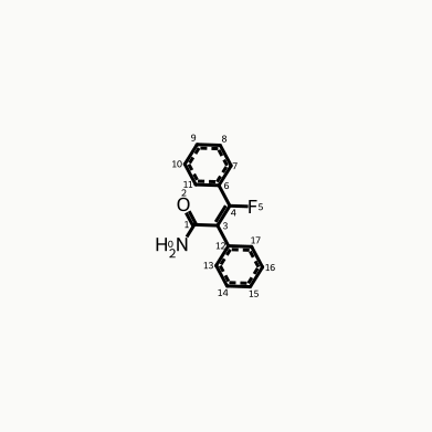 NC(=O)C(=C(F)c1ccccc1)c1ccccc1